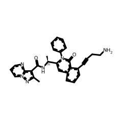 Cc1nn2cccnc2c1C(=O)N[C@@H](C)c1cc2cccc(C#CCCN)c2c(=O)n1-c1ccccc1